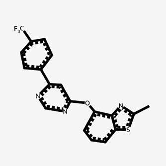 Cc1nc2c(Oc3cc(-c4ccc(C(F)(F)F)cc4)ncn3)cccc2s1